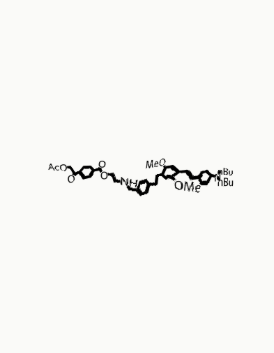 CCCCN(CCCC)c1ccc(C=Cc2cc(OC)c(C=Cc3ccc(CNCCOC(=O)c4ccc(C(=O)COC(C)=O)cc4)cc3)cc2OC)cc1